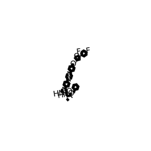 CC[C@H](NC(=O)N(C=N)c1ccc(N2CCN(c3ccc(OC[C@@H]4CO[C@@H](c5ccc(F)cc5F)C4)cc3)CC2)cc1)[C@H](C)OCc1ccccc1